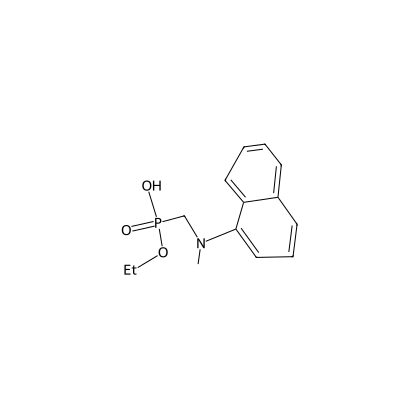 CCOP(=O)(O)CN(C)c1cccc2ccccc12